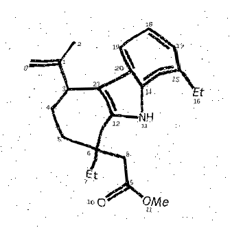 C=C(C)C1CCC(CC)(CC(=O)OC)c2[nH]c3c(CC)cccc3c21